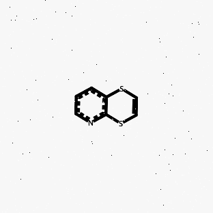 C1=CSc2ncccc2S1